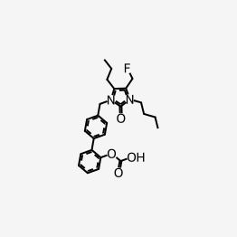 CCCCn1c(CF)c(CCC)n(Cc2ccc(-c3ccccc3OC(=O)O)cc2)c1=O